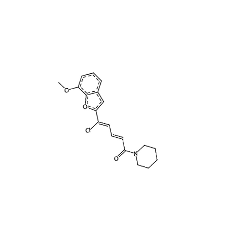 COc1cccc2cc(/C(Cl)=C/C=C/C(=O)N3CCCCC3)oc12